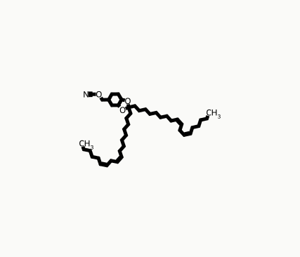 CCCCC/C=C\C/C=C\CCCCCCCCC1(CCCCCCCC/C=C\C/C=C\CCCCC)OC2CCC(COC#N)CC2O1